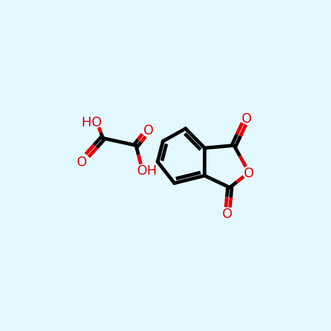 O=C(O)C(=O)O.O=C1OC(=O)c2ccccc21